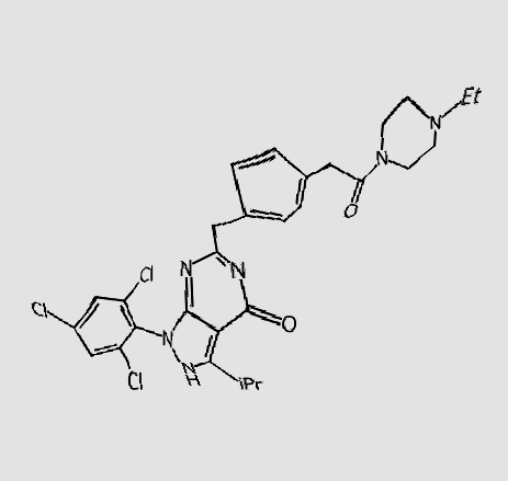 CCN1CCN(C(=O)Cc2ccc(Cc3nc4n(-c5c(Cl)cc(Cl)cc5Cl)[nH]c(C(C)C)c-4c(=O)n3)cc2)CC1